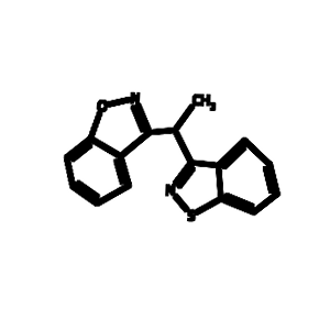 C[C](c1noc2ccccc12)c1nsc2ccccc12